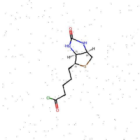 O=C(Cl)CCCC[C@@H]1SC[C@@H]2NC(=O)N[C@@H]21